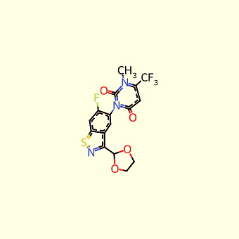 Cn1c(C(F)(F)F)cc(=O)n(-c2cc3c(C4OCCO4)nsc3cc2F)c1=O